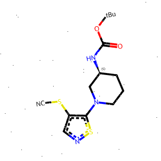 CC(C)(C)OC(=O)N[C@H]1CCCN(c2sncc2SC#N)C1